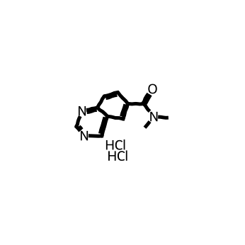 CN(C)C(=O)c1ccc2ncncc2c1.Cl.Cl